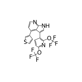 FC(F)(F)Oc1ccc(-c2c[nH]c3nccc(-c4ccsc4)c23)c(OC(F)(F)F)n1